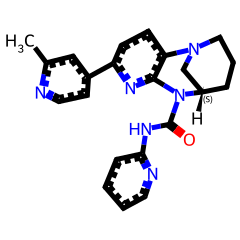 Cc1cc(-c2ccc3c(n2)N(C(=O)Nc2ccccn2)[C@H]2CCCN3C2)ccn1